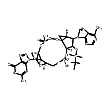 CO[C@H]1[C@H]2OP(=O)(O)OC[C@@]34C[C@@H]3[C@@H](n3cnc5c(N)ncnc53)C(O[Si](C)(C)C(C)(C)C)[C@@H]4O[P@@](=O)(S)OC[C@H]1O[C@H]2n1nnc2c(=O)[nH]c(N)nc21